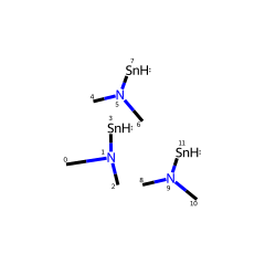 C[N](C)[SnH].C[N](C)[SnH].C[N](C)[SnH]